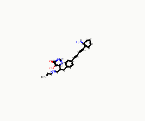 C=CCNCC(Cc1ccc(C#CC#Cc2ccccc2N)cc1)c1nc[nH]c(=O)c1O